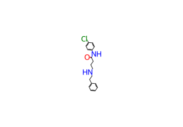 O=C(CCCNCCc1ccccc1)Nc1ccc(Cl)cc1